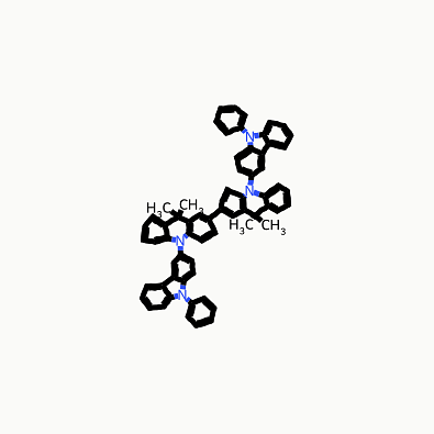 CC1(C)c2ccccc2N(c2ccc3c(c2)c2ccccc2n3-c2ccccc2)c2ccc(-c3ccc4c(c3)C(C)(C)c3ccccc3N4c3ccc4c(c3)c3ccccc3n4-c3ccccc3)cc21